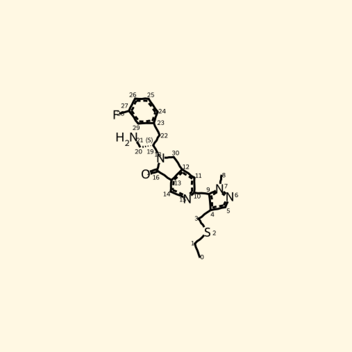 CCSCc1cnn(C)c1-c1cc2c(cn1)C(=O)N([C@H](CN)Cc1cccc(F)c1)C2